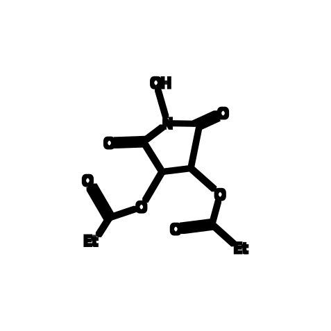 CCC(=O)OC1C(=O)N(O)C(=O)C1OC(=O)CC